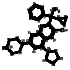 NC(c1ccccc1)(c1nc2nc(N3CCNCC3)nc(N3CCCC3)c2nc1Cl)C1CC1